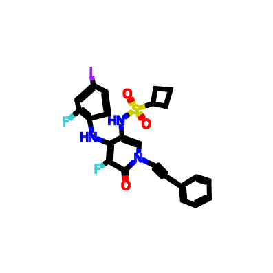 O=c1c(F)c(Nc2ccc(I)cc2F)c(NS(=O)(=O)C2CCC2)cn1C#Cc1ccccc1